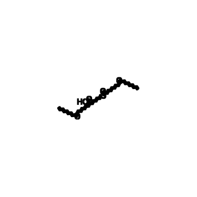 CCCCCCCCC1OC1CCCCCCCC(=O)OCCCCCCC(CCCCCCC1OC1CCCCCCCC)C(=O)O